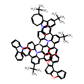 CC(C)(C)/C1=C/c2c(n(-c3ccc4c(c3)N(c3c(-c5ccccc5)cc(C(C)(C)C)cc3-c3ccccc3)c3cc(-c5cccc6c5oc5ccc7oc8ccccc8c7c56)cc5c3B4c3ccc(-n4c6ccccc6c6ccccc64)cc3N5c3c(-c4ccccc4)cc(C(C)(C)C)cc3-c3ccccc3)c3ccc(C(C)(C)C)cc23)C/C=C\C1